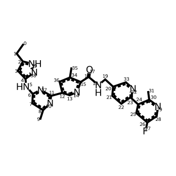 CCc1cc(Nc2cc(C)nc(-c3cnc(C(=O)NCc4ccc(-c5cc(F)cnc5C)nc4)c(C)c3)n2)n[nH]1